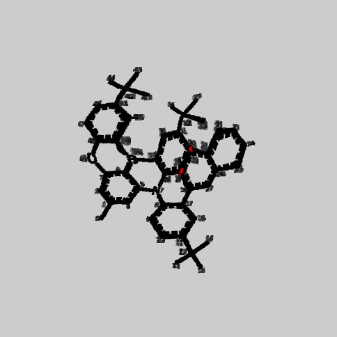 Cc1cc2c3c(c1)N(c1ccc(C(C)(C)C)cc1-c1ccc4ccccc4c1)c1ccc(C(C)(C)C)cc1B3c1cc(C(C)(C)C)ccc1O2